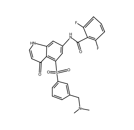 CN(C)Cc1cccc(S(=O)(=O)c2cc(NC(=O)c3c(F)cccc3F)cc3[nH]ccc(=O)c23)c1